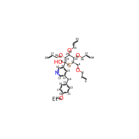 C=CCOC[C@H]1SC(O)(c2cncc(Cc3ccc(OCC)cc3)c2)[C@H](OCC=C)C(OCC=C)[C@@H]1OCC=C